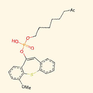 COc1cccc2c1Sc1ccccc1C=C2OP(=O)(O)OCCCCCCC(C)=O